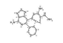 NNc1ccc(-c2c(-c3ccccc3)nc(N)n3ncnc23)cc1N